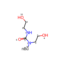 CCCCN(CCO)C(=O)NCCO